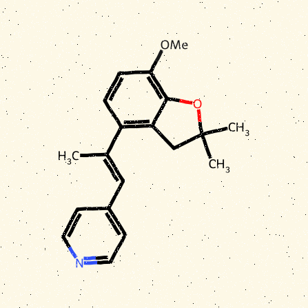 COc1ccc(C(C)=Cc2ccncc2)c2c1OC(C)(C)C2